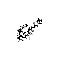 Cc1cn(CC(F)CCc2ccc(NC(=O)Cc3cc(OC4CC(OCC(F)(F)F)C4)ccn3)nn2)nn1